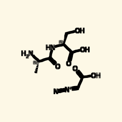 C[C@H](N)C(=O)N[C@@H](CO)C(=O)O.[N-]=[N+]=CC(=O)O